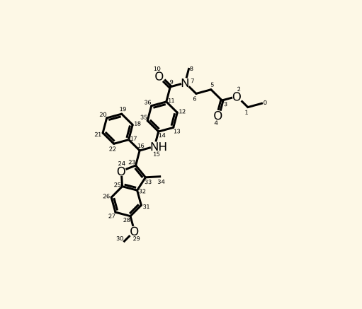 CCOC(=O)CCN(C)C(=O)c1ccc(NC(c2ccccc2)c2oc3ccc(OC)cc3c2C)cc1